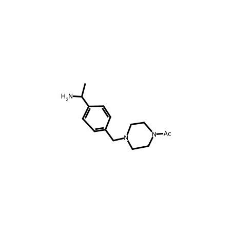 CC(=O)N1CCN(Cc2ccc(C(C)N)cc2)CC1